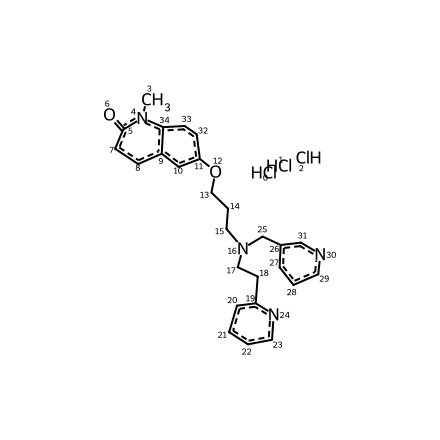 Cl.Cl.Cl.Cn1c(=O)ccc2cc(OCCCN(CCc3ccccn3)Cc3cccnc3)ccc21